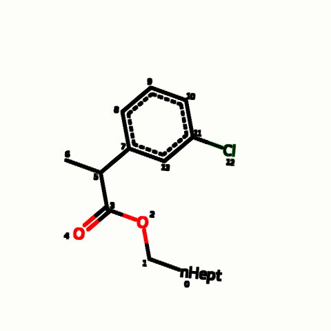 CCCCCCCCOC(=O)C(C)c1cccc(Cl)c1